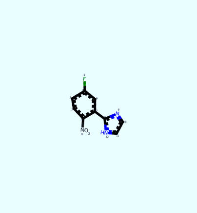 O=[N+]([O-])c1ccc(F)cc1-c1ncc[nH]1